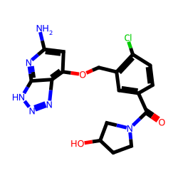 Nc1cc(OCc2cc(C(=O)N3CCC(O)C3)ccc2Cl)c2nn[nH]c2n1